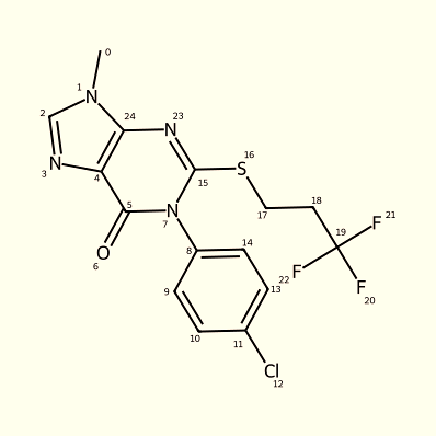 Cn1cnc2c(=O)n(-c3ccc(Cl)cc3)c(SCCC(F)(F)F)nc21